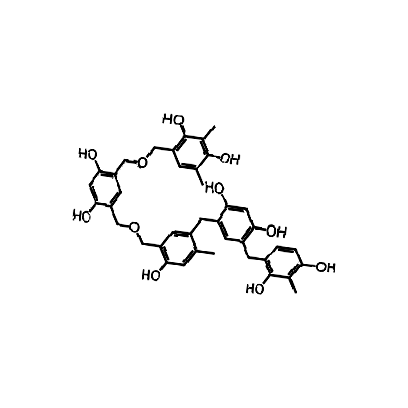 Cc1cc(O)c(COCc2cc(COCc3cc(C)c(O)c(C)c3O)c(O)cc2O)cc1Cc1cc(Cc2ccc(O)c(C)c2O)c(O)cc1O